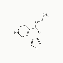 CCOC(=O)C1=C(c2ccsc2)CNCC1